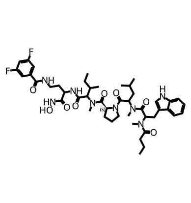 CCCC(=O)N(C)C(Cc1c[nH]c2ccccc12)C(=O)N(C)C(CC(C)C)C(=O)N1CCC[C@H]1C(=O)N(C)C(C(=O)NC(CCNC(=O)c1cc(F)cc(F)c1)C(=O)NO)C(C)CC